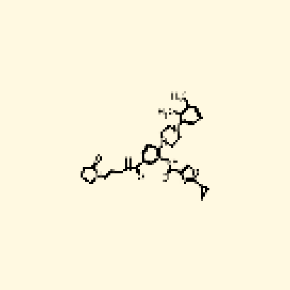 Cc1cccc(N2CCN(c3ccc(C(=O)NCCCN4CCCC4=O)cc3NC(=O)c3coc(C4CC4)n3)CC2)c1C